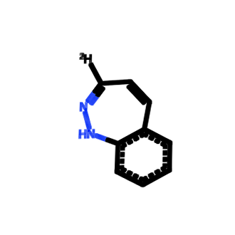 [2H]C1=NNc2ccccc2C=C1